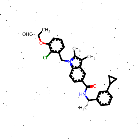 Cc1c(C)n(Cc2cccc(O[C@@H](C)C=O)c2Cl)c2ccc(C(=O)N[C@@H](C)c3cccc(C4CC4)c3)cc12